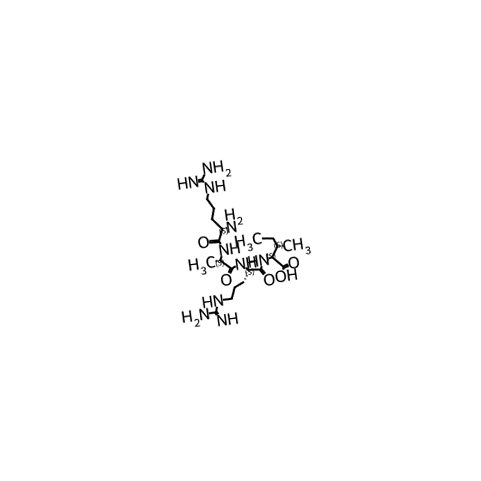 CC[C@H](C)[C@H](NC(=O)[C@H](CCCNC(=N)N)NC(=O)[C@H](C)NC(=O)[C@@H](N)CCCNC(=N)N)C(=O)O